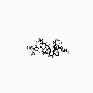 COCCCC[C@@](O)(c1cccc(Cl)c1-c1cc(OC)cc(OC)c1)[C@H]1CN(C(=O)[C@H]2C[C@@H](N)[C@@H](O)C2)CCO1